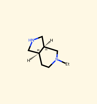 CCN1CC[C@H]2CNC[C@H]2C1